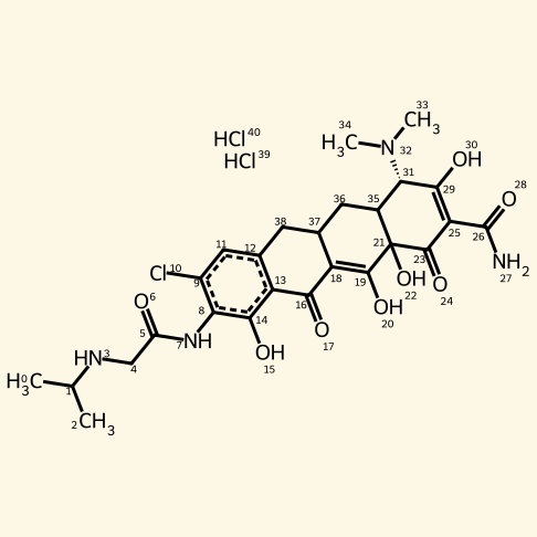 CC(C)NCC(=O)Nc1c(Cl)cc2c(c1O)C(=O)C1=C(O)C3(O)C(=O)C(C(N)=O)=C(O)[C@@H](N(C)C)C3CC1C2.Cl.Cl